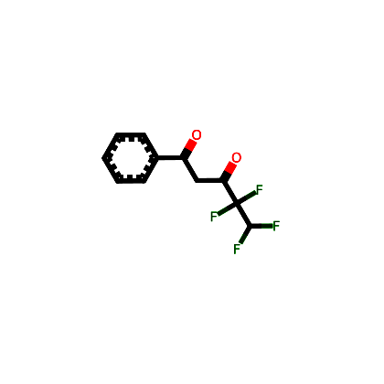 O=C(CC(=O)C(F)(F)C(F)F)c1ccccc1